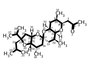 CC(=O)C[C@H]1O[C@@H]2[C@H](C[C@H]1C)O[C@@]1(C[C@@H]2C)C[C@H](C)[C@@H]2O[C@](CC(C)C)(C(C)C)C[C@@H]2O1